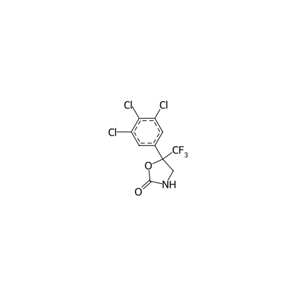 O=C1NCC(c2cc(Cl)c(Cl)c(Cl)c2)(C(F)(F)F)O1